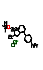 CCCc1ccc(-c2cccc3c2C=C(CC)[CH]3[Zr+2][O][SiH](C)C)cc1.[Cl-].[Cl-]